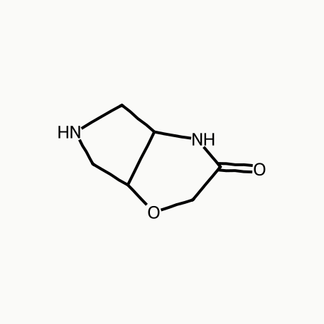 O=C1COC2CNCC2N1